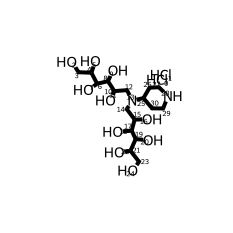 Cl.Cl.OCC(O)C(O)C(O)C(O)CN(CC(O)C(O)C(O)C(O)CO)C1CCNCC1